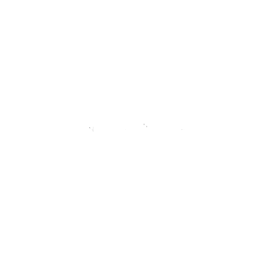 O=C1C=CC(=O)c2nc(-c3ccccn3)ccc21